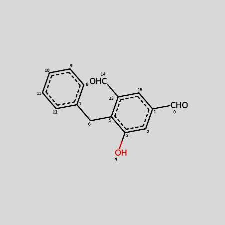 O=Cc1cc(O)c(Cc2ccccc2)c(C=O)c1